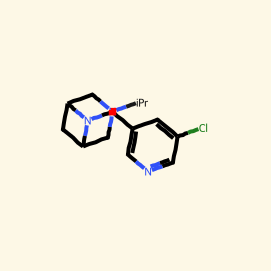 CC(C)N1CC2CC(C1)N2Cc1cncc(Cl)c1